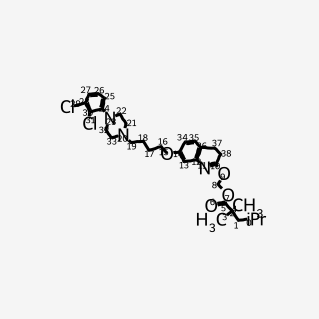 CC(C)CC(C)(C)C(=O)OCOC1=Nc2cc(OCCCCN3CCN(c4cccc(Cl)c4Cl)CC3)ccc2CC1